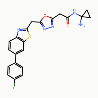 NC1(NC(=O)Cc2nnc(Cc3nc4ccc(-c5ccc(Cl)cc5)cc4s3)o2)CC1